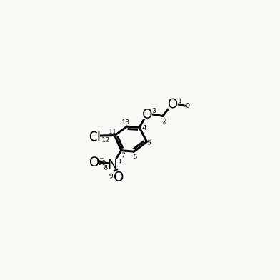 COCOc1ccc([N+](=O)[O-])c(Cl)c1